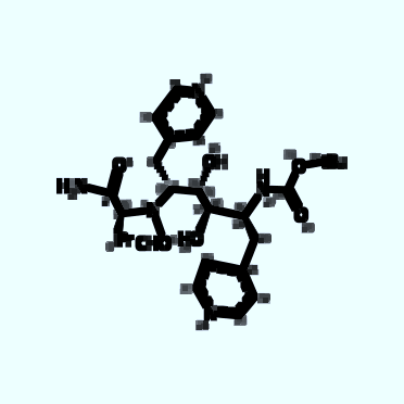 CC(C)[C@@H](C(N)=O)N(C=O)[C@H](Cc1ccncc1)[C@H](O)[C@H](O)[C@H](Cc1ccncc1)NC(=O)OC(C)(C)C